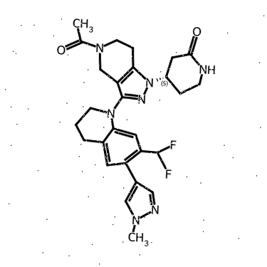 CC(=O)N1CCc2c(c(N3CCCc4cc(-c5cnn(C)c5)c(C(F)F)cc43)nn2[C@H]2CCNC(=O)C2)C1